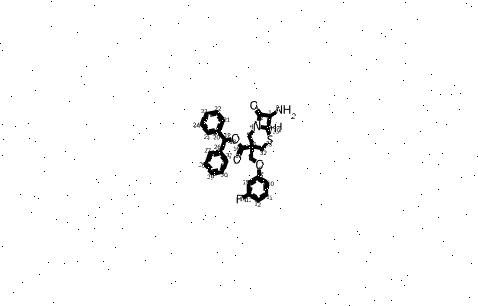 NC1C(=O)N2CC(COc3cccc(F)c3)(C(=O)OC(c3ccccc3)c3ccccc3)CS[C@H]12